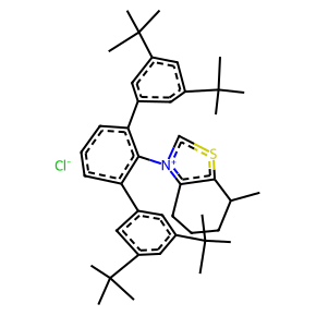 CC1CCCc2c1sc[n+]2-c1c(-c2cc(C(C)(C)C)cc(C(C)(C)C)c2)cccc1-c1cc(C(C)(C)C)cc(C(C)(C)C)c1.[Cl-]